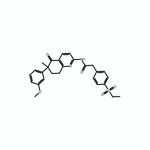 CCS(=O)(=O)c1ccc(CC(=O)Nc2ccc3c(n2)CCC(C)(c2cccc(OC)c2)C3=O)cc1